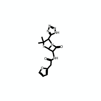 CC1(C)SC2C(NC(=O)Cc3ccco3)C(=O)N2C1c1nnn[nH]1